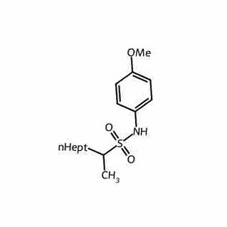 CCCCCCCC(C)S(=O)(=O)Nc1ccc(OC)cc1